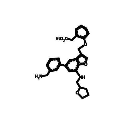 CCOC(=O)Cc1ccccc1OCc1coc2c(NCC3CCCO3)cc(-c3cccc(CN)c3)cc12